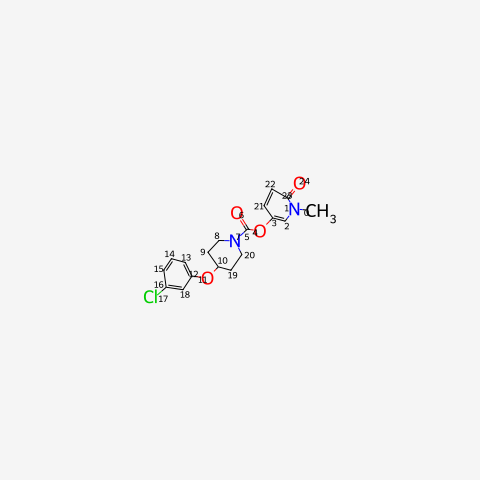 Cn1cc(OC(=O)N2CCC(Oc3cccc(Cl)c3)CC2)ccc1=O